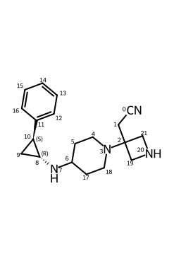 N#CCC1(N2CCC(N[C@@H]3C[C@H]3c3ccccc3)CC2)CNC1